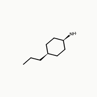 CCC[C@H]1CC[C@@H]([NH])CC1